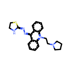 c1ccc2c(c1)c(=NN=C1NCCS1)c1ccccc1n2CCN1CCCC1